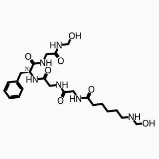 O=C(CCCCCNCO)NCC(=O)NCC(=O)N[C@@H](Cc1ccccc1)C(=O)NCC(=O)NCO